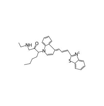 CCCCC(C(=O)CNCC)N1C=CC(=CC=Cc2sc3ccccc3[n+]2C)c2ccccc21